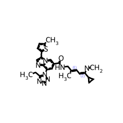 C=N/C(=C\C=C(/C)CNC(=O)c1cc(-n2nnnc2CC)c2ncc(-c3ccc(C)s3)n2c1)C1CC1